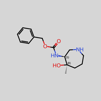 C[C@@]1(O)CCCNC[C@@H]1NC(=O)OCc1ccccc1